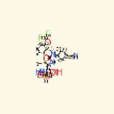 Cc1oc(N(Cc2ccccc2OC(F)F)c2ccc(C#N)cc2)nc1C(O)NS(C)(=O)=O